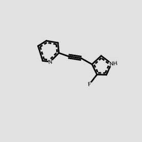 Fc1c[nH]cc1C#Cc1ccccn1